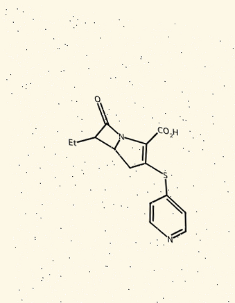 CCC1C(=O)N2C(C(=O)O)=C(Sc3ccncc3)CC12